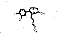 CON=CCCC1=C(c2ccc(Cl)c(Cl)c2)CC2CC(O)C1S2